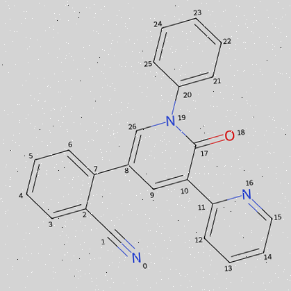 N#Cc1ccccc1-c1cc(-c2ccccn2)c(=O)n(-c2ccccc2)c1